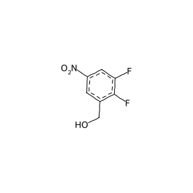 O=[N+]([O-])c1cc(F)c(F)c(CO)c1